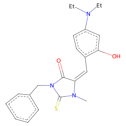 CCN(CC)c1ccc(/C=C2\C(=O)N(Cc3ccccc3)C(=S)N2C)c(O)c1